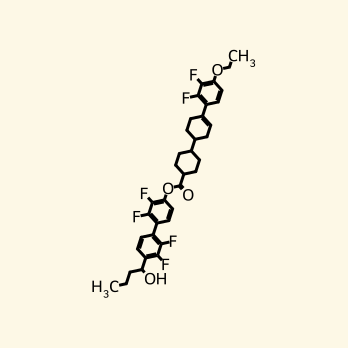 CCCC(O)c1ccc(-c2ccc(OC(=O)C3CCC(C4CC=C(c5ccc(OCC)c(F)c5F)CC4)CC3)c(F)c2F)c(F)c1F